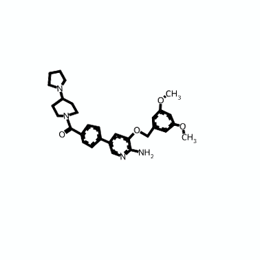 COc1cc(COc2cc(-c3ccc(C(=O)N4CCC(N5CCCC5)CC4)cc3)cnc2N)cc(OC)c1